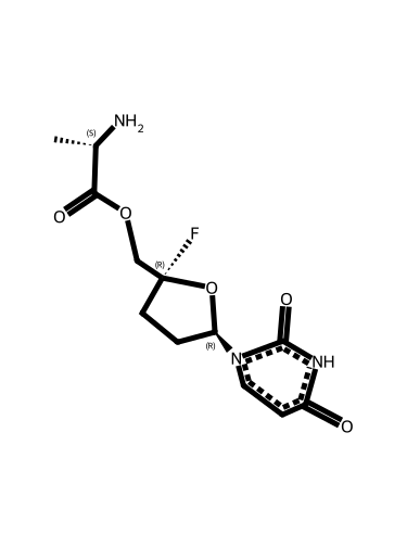 C[C@H](N)C(=O)OC[C@]1(F)CC[C@H](n2ccc(=O)[nH]c2=O)O1